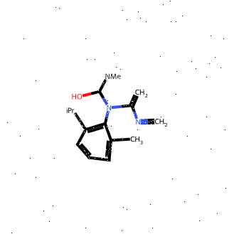 C=NC(=C)N(c1c(C)cccc1C(C)C)C(O)NC